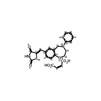 O=C(O)/C=C\C(=O)O.O=C1NC(=O)/C(=C/c2ccc3c(c2)CN(c2ccccn2)CCO3)S1